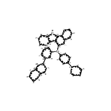 c1ccc(-c2ccc(N(c3cccc(-c4ccc5ccccc5c4)c3)c3cc4ccccc4c4oc5cccnc5c34)cc2)cc1